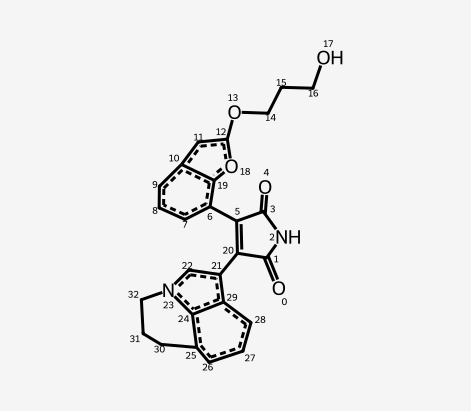 O=C1NC(=O)C(c2cccc3cc(OCCCO)oc23)=C1c1cn2c3c(cccc13)CCC2